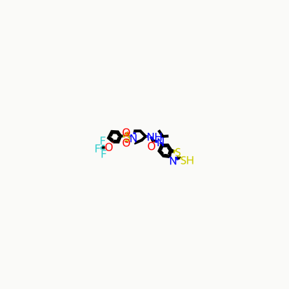 CC(C)N(C(=O)NC1CCN(S(=O)(=O)c2cccc(OC(F)(F)F)c2)CC1)c1ccc2nc(S)sc2c1